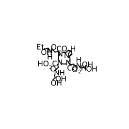 CCC(O)CNC(=O)CC(C(=O)O)N1CCN(C(CC(=O)NCC(O)CO)C(=O)O)CCN(C(CC(=O)NCC(O)CO)C(=O)O)Cc2cccc(n2)C1